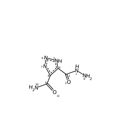 NNC(=O)c1[nH]nnc1C(N)=O